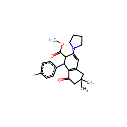 COC(=O)C1C(N2CCCC2)=CC2=C(C(=O)CC(C)(C)C2)C1c1ccc(F)cc1